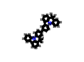 CC1(C)c2cc(-c3ccc4c(c3)c3cccc5c3n4-c3ccccc3C5(C)C)ccc2-n2c3ccccc3c3cccc1c32